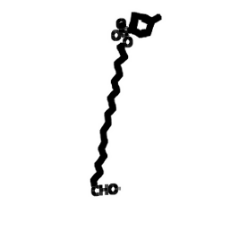 Cc1ccc(S(=O)(=O)OCCCCCCCCCCCCCCCCC[C]=O)cc1